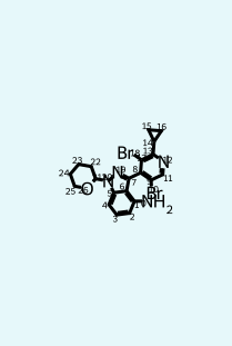 Nc1cccc2c1c(-c1c(Br)cnc(C3CC3)c1Br)nn2C1CCCCO1